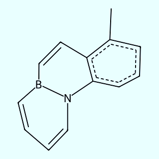 Cc1cccc2c1C=CB1C=CC=CN12